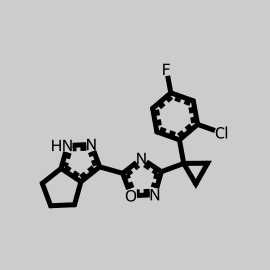 Fc1ccc(C2(c3noc(-c4n[nH]c5c4CCC5)n3)CC2)c(Cl)c1